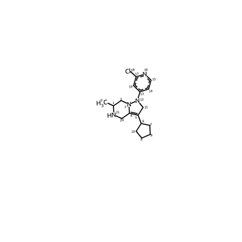 CC1CN2C(=C(C3CCCC3)CN2c2ccnc(Cl)c2)CN1